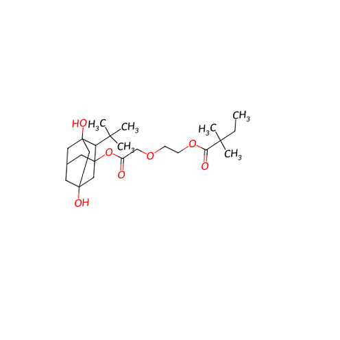 CCC(C)(C)C(=O)OCCOCC(=O)OC12CC3CC(O)(CC(O)(C3)C1C(C)(C)C)C2